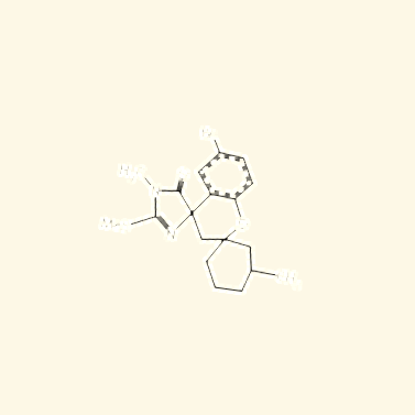 CSC1=NC2(CC3(CCCC(C)C3)Oc3ccc(Br)cc32)C(=O)N1C